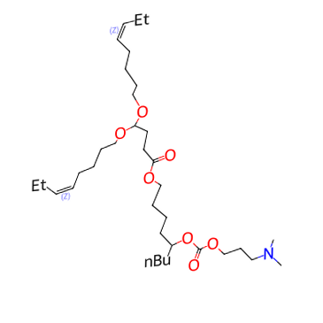 [CH2]CCCC(CCCCOC(=O)CCC(OCCCC/C=C\CC)OCCCC/C=C\CC)OC(=O)OCCCN(C)C